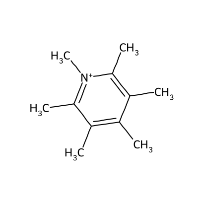 Cc1c(C)c(C)[n+](C)c(C)c1C